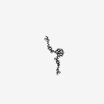 C=CC(=O)OCCCCOc1ccc(C(=O)/C=C/c2ccc3c4c(ccc3c2)OCOc2ccc3cc(/C=C/C(=O)c5ccc(OCCCCOC(=O)C=C)cc5)ccc3c2-4)cc1